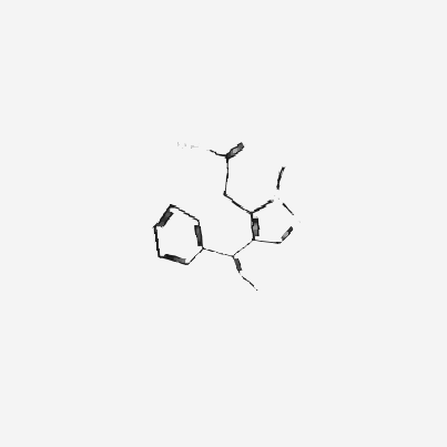 COC(=O)Cc1c(C(=CCl)c2ccccc2)cnn1C